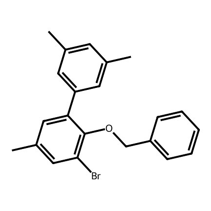 Cc1cc(C)cc(-c2cc(C)cc(Br)c2OCc2ccccc2)c1